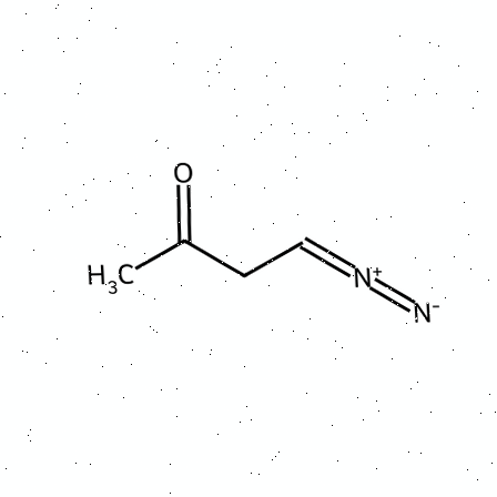 CC(=O)CC=[N+]=[N-]